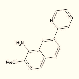 COc1ccc2ccc(-c3ccccn3)cc2c1N